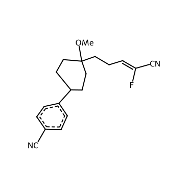 COC1(CCC=C(F)C#N)CCC(c2ccc(C#N)cc2)CC1